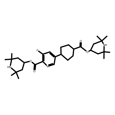 CC1(C)CC(OC(=O)c2ncc(C3CCC(C(=O)OC4CC(C)(C)NC(C)(C)C4)CC3)cc2F)CC(C)(C)N1